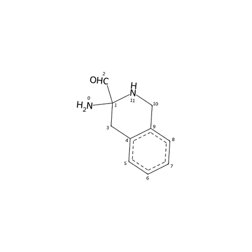 NC1(C=O)Cc2ccccc2CN1